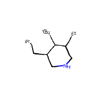 CCC1CNCC(CC(C)C)C1C(C)(C)C